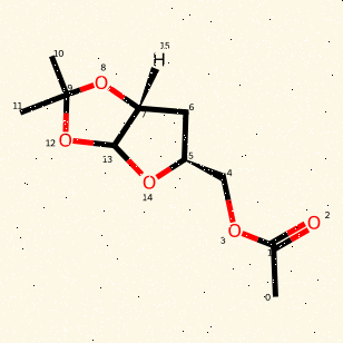 CC(=O)OC[C@@H]1C[C@H]2OC(C)(C)OC2O1